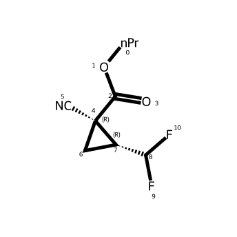 CCCOC(=O)[C@]1(C#N)C[C@H]1C(F)F